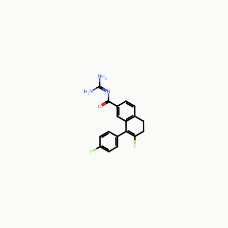 NC(N)=NC(=O)c1ccc2c(c1)C(c1ccc(F)cc1)=C(F)CC2